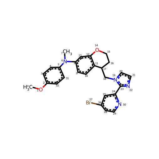 COc1ccc(N(C)c2ccc3c(c2)OCCC3Cn2ccnc2-c2cc(Br)ccn2)cc1